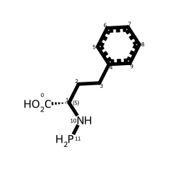 O=C(O)[C@H](CCc1ccccc1)NP